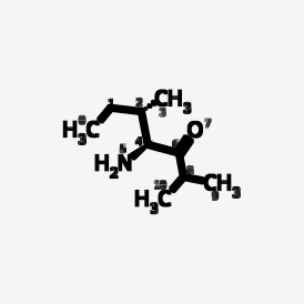 CC[C@H](C)[C@H](N)C(=O)C(C)C